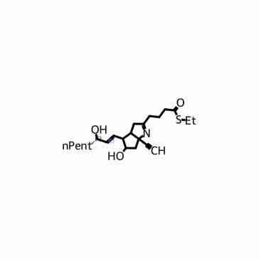 C#CC12CC(O)C(/C=C/[C@@H](O)CCCCC)C1CC(CCCC(=O)SCC)=N2